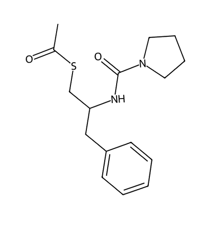 CC(=O)SCC(Cc1ccccc1)NC(=O)N1CCCC1